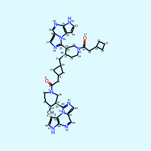 C[C@H]1CCN(C(=O)CC2CC(C[C@@H]3CCN(C(=O)CC4CCC4)C[C@@H]3c3ncc4cnc5[nH]ccc5n34)C2)C[C@H]1c1ncc2cnc3[nH]ccc3n12